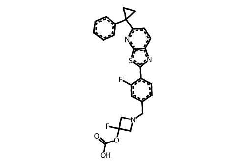 O=C(O)OC1(F)CN(Cc2ccc(-c3nc4ccc(C5(c6ccccc6)CC5)nc4s3)c(F)c2)C1